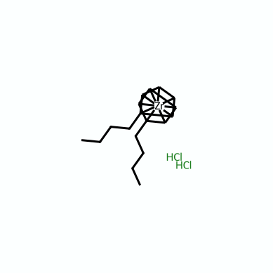 CCCC[C]12[CH]3[CH]4[CH]5[CH]1[Zr]45321678[CH]2[CH]1[CH]6[C]7(CCCC)[CH]28.Cl.Cl